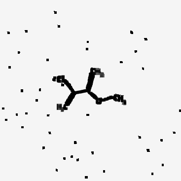 C=C(Cl)C(=C)OC